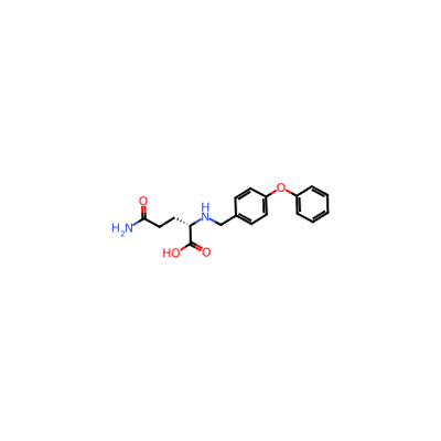 NC(=O)CC[C@H](NCc1ccc(Oc2ccccc2)cc1)C(=O)O